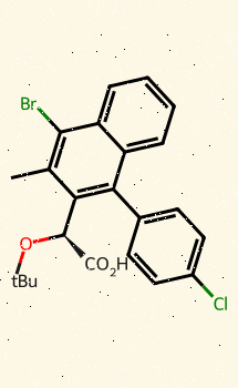 Cc1c([C@H](OC(C)(C)C)C(=O)O)c(-c2ccc(Cl)cc2)c2ccccc2c1Br